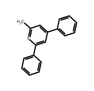 Cc1cc(-c2ccccc2)cc(-c2ccccc2)[s+]1